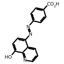 O=C(O)c1ccc(N=Nc2ccc(O)c3ncccc23)cc1